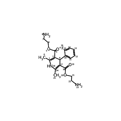 CC1=C(C(=O)OCCN)C(c2ccccc2F)C(C(=O)OCCN)=C(C)N1